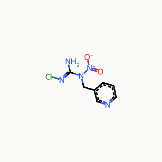 NC(=NCl)N(Cc1cccnc1)[N+](=O)[O-]